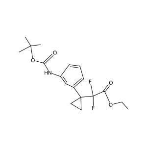 CCOC(=O)C(F)(F)C1(c2cccc(NC(=O)OC(C)(C)C)c2)CC1